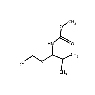 CCSC(NC(=O)OC)C(C)C